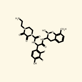 NCCN1CCN(C(=O)NC(C(=O)NC2Cc3cccc(C(=O)O)c3OB2O)c2ccc(O)c(F)c2F)C(=O)C1=O